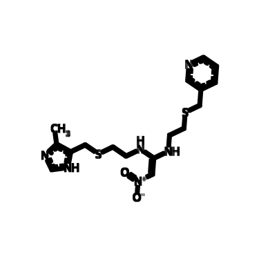 Cc1nc[nH]c1CSCCN/C(=C\[N+](=O)[O-])NCCSCc1cccnc1